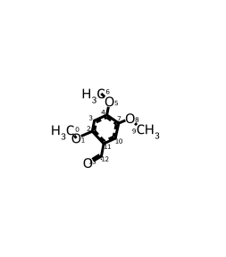 COc1cc(OC)c(OC)cc1[C]=O